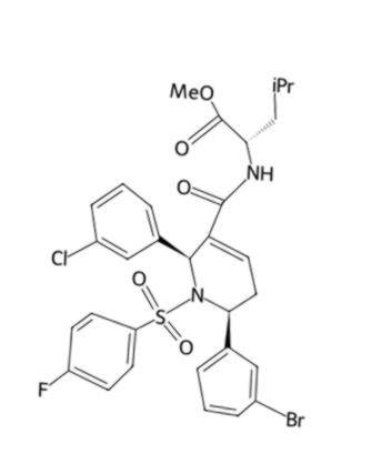 COC(=O)[C@H](CC(C)C)NC(=O)C1=CC[C@@H](c2cccc(Br)c2)N(S(=O)(=O)c2ccc(F)cc2)[C@H]1c1cccc(Cl)c1